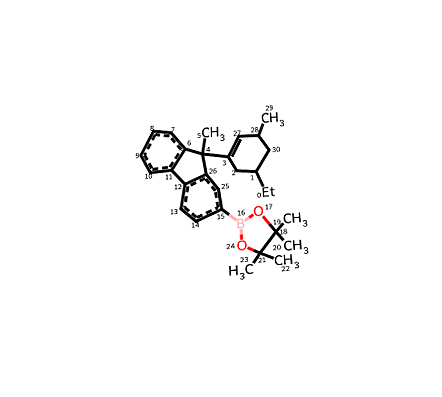 CCC1CC(C2(C)c3ccccc3-c3ccc(B4OC(C)(C)C(C)(C)O4)cc32)=CC(C)C1